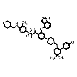 Cc1cc(S(=O)(=O)NC(=O)c2ccc(N3CCN(CC4=C(c5ccc(Cl)cc5)CC(C)(C)CC4)CC3)cc2Oc2cccc3[nH]ncc23)cnc1NCC1CCOCC1